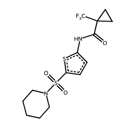 O=C(Nc1ccc(S(=O)(=O)N2CCCCC2)s1)C1(C(F)(F)F)CC1